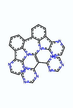 c1cc2c3cccc4c5nccnc5n(c(=C(c5ncncn5)c5ncncn5)n5c6nccnc6c(c1)c25)c34